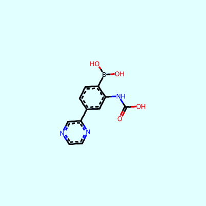 O=C(O)Nc1cc(-c2cnccn2)ccc1B(O)O